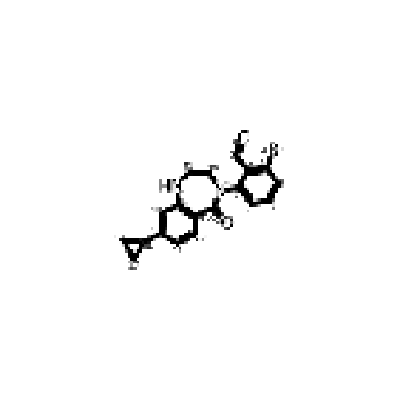 O=Cc1c(Br)cccc1N1CCNc2cc(C3CC3)ccc2C1=O